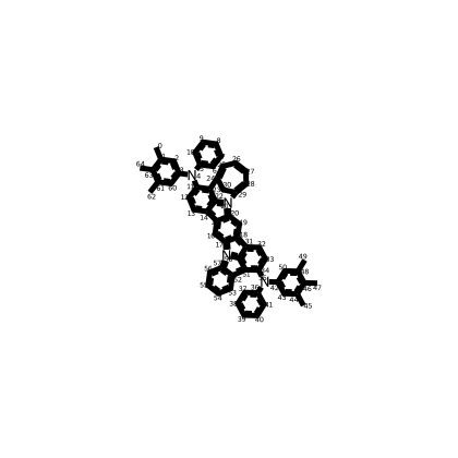 Cc1cc(N(c2ccccc2)c2ccc3c4cc5c(cc4n4c3c2C2=CC=CC=C4C2)c2ccc(N(c3ccccc3)c3cc(C)c(C)c(C)c3)c3c4ccccc4n5c23)cc(C)c1C